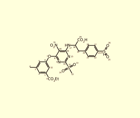 CCOC(=O)c1cc(C)cc(Oc2nc(S(C)(=O)=O)nc(NC(Cc3ccc([SH](=O)=O)cc3)C(=O)O)c2[N+](=O)[O-])c1